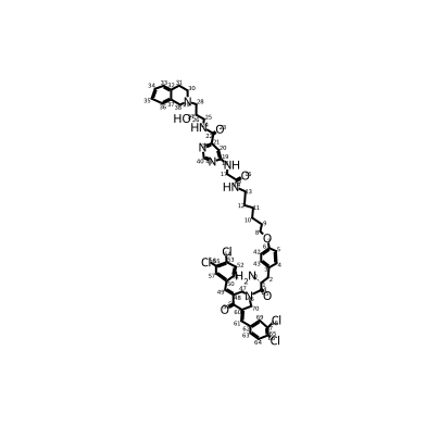 N[C@H](Cc1ccc(OCCCCCCNC(=O)CNc2cc(C(=O)NC[C@H](O)CN3CCc4ccccc4C3)ncn2)cc1)C(=O)N1C/C(=C\c2ccc(Cl)c(Cl)c2)C(=O)/C(=C/c2ccc(Cl)c(Cl)c2)C1